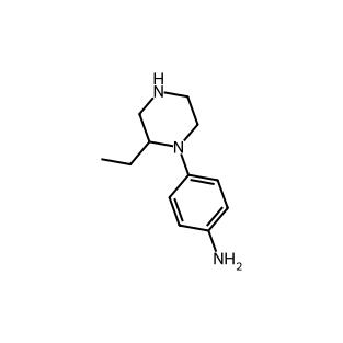 CCC1CNCCN1c1ccc(N)cc1